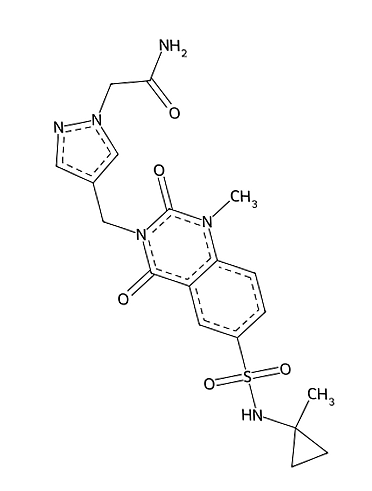 Cn1c(=O)n(Cc2cnn(CC(N)=O)c2)c(=O)c2cc(S(=O)(=O)NC3(C)CC3)ccc21